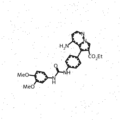 CCOC(=O)c1cn2nccc(N)c2c1-c1ccc(NC(=O)Nc2ccc(OC)c(OC)c2)cc1